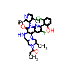 C=CC(=O)N1CC2CNc3c(c4cc(F)c(-c5c(O)cccc5Cl)nc4n(-c4c(C)ccnc4C(C)C)c3=O)N2CC1C